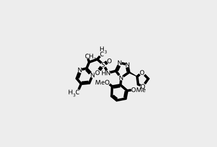 COc1cccc(OC)c1-n1c(NS(=O)(=O)C(C)C(C)c2ncc(C)cn2)nnc1[C@@H]1COCO1